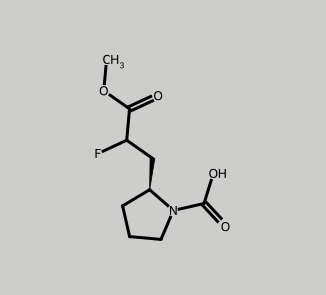 COC(=O)C(F)C[C@@H]1CCCN1C(=O)O